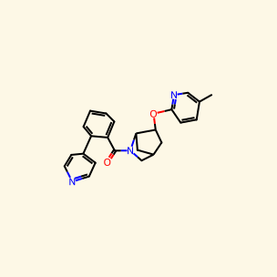 Cc1ccc(OC2CC3CC2N(C(=O)c2ccccc2-c2ccncc2)C3)nc1